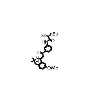 CCCCC(CC)C(=O)Nc1cccc(C(=O)C=C2NC(C)(C)Cc3ccc(OC)cc32)c1